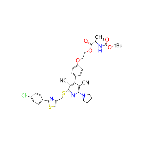 C[C@H](NC(=O)OC(C)(C)C)C(=O)OCCOc1ccc(-c2c(C#N)c(SCc3csc(-c4ccc(Cl)cc4)n3)nc(N3CCCC3)c2C#N)cc1